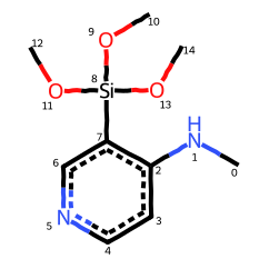 CNc1ccncc1[Si](OC)(OC)OC